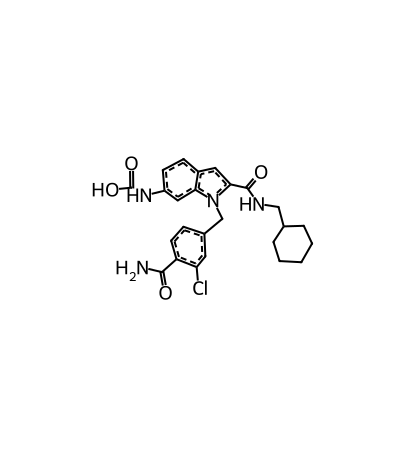 NC(=O)c1ccc(Cn2c(C(=O)NCC3CCCCC3)cc3ccc(NC(=O)O)cc32)cc1Cl